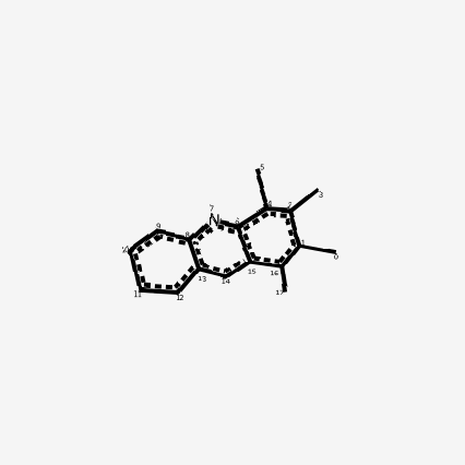 Cc1c(C)c(C)c2nc3ccccc3cc2c1C